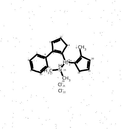 CC1=[C]([Hf+2]([C]2=C(c3ccccc3)C=CC2)[SiH](C)C)CC=C1.[Cl-].[Cl-]